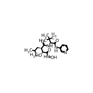 CC(C)C[C@@H](C(=O)N[C@H](C(=O)Nc1cccnc1)C(C)(C)C)[C@H](O)C(=O)NO